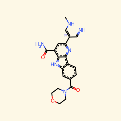 CN/C=C(\C=N)c1cc(C(N)=O)c2[nH]c3cc(C(=O)N4CCOCC4)ccc3c2n1